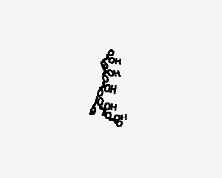 COCC(O)COCC(O)COCC(O)COCC(COC)OCC(O)COCC(O)COC